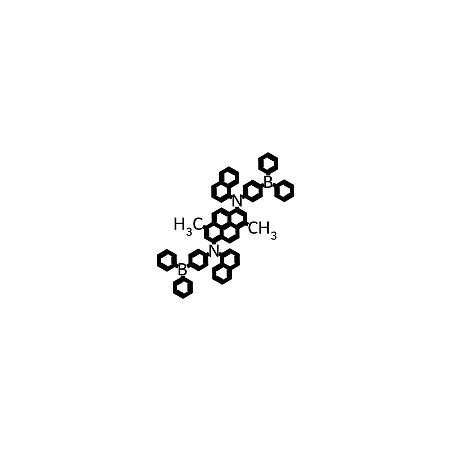 Cc1cc(N(c2ccc(B(c3ccccc3)c3ccccc3)cc2)c2cccc3ccccc23)c2ccc3c(C)cc(N(c4ccc(B(c5ccccc5)c5ccccc5)cc4)c4cccc5ccccc45)c4ccc1c2c34